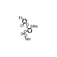 CCc1ccc(OCc2c(OC(=O)OC=N)cccc2SC)c(Cl)c1